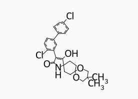 CC1(C)COC2(CCC3(CC2)NC(=O)C(c2cc(-c4ccc(Cl)cc4)ccc2Cl)=C3O)OC1